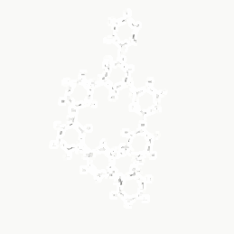 c1ccc(-c2cc(-c3ccccc3)nc(-c3cccc(-c4cccc(-c5ccc6c7ccccc7c7ccccc7c6c5)c4)c3)n2)cc1